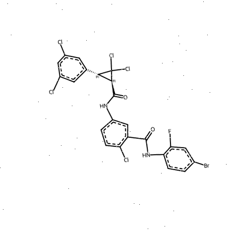 O=C(Nc1ccc(Br)cc1F)c1cc(NC(=O)[C@H]2[C@H](c3cc(Cl)cc(Cl)c3)C2(Cl)Cl)ccc1Cl